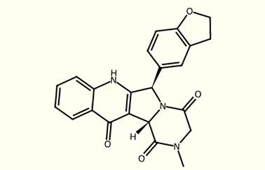 CN1CC(=O)N2[C@H](c3ccc4c(c3)CCO4)c3[nH]c4ccccc4c(=O)c3[C@H]2C1=O